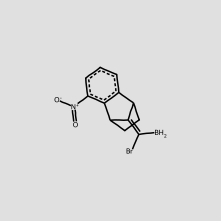 B/C(Br)=C1\C2CCC1c1c2cccc1[N+](=O)[O-]